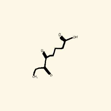 CCC(=O)C(=O)C[CH]CC(=O)O